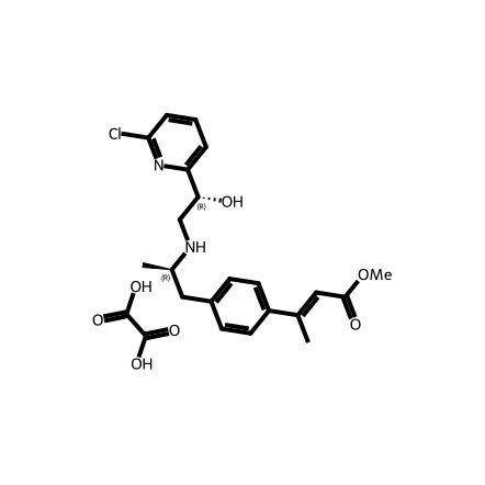 COC(=O)C=C(C)c1ccc(C[C@@H](C)NC[C@@H](O)c2cccc(Cl)n2)cc1.O=C(O)C(=O)O